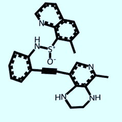 Cc1ccc2cccnc2c1[S+]([O-])Nc1ccccc1C#Cc1cnc(C)c2c1NCCN2